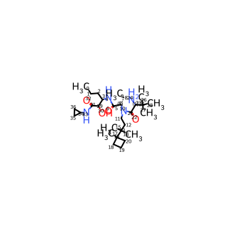 CCCC(NC(=O)[C@H](CC)N(CCC(C)(C)C1(C)CCC1)C(=O)[C@@H](N)C(C)(C)C)C(O)C(=O)NC1CC1